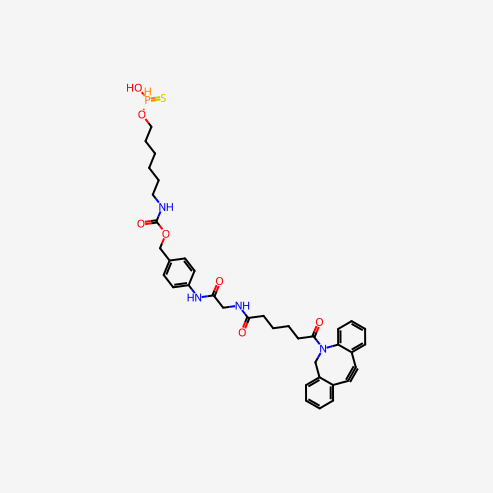 O=C(CCCCC(=O)N1Cc2ccccc2C#Cc2ccccc21)NCC(=O)Nc1ccc(COC(=O)NCCCCCCO[PH](O)=S)cc1